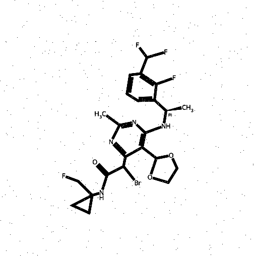 Cc1nc(N[C@H](C)c2cccc(C(F)F)c2F)c(C2OCCO2)c(C(Br)C(=O)NC2(CF)CC2)n1